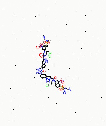 CN(C)CCNS(=O)(=O)c1ccc2c3c(cc([N+](=O)[O-])c2c1)N(C(=O)c1cc2cc(NC(=O)Nc4ccc5[nH]c(C(=O)N6CC(CCl)c7c6cc([N+](=O)[O-])c6cc(S(=O)(=O)NCCN(C)C)ccc76)cc5c4)ccc2[nH]1)CC3CCl